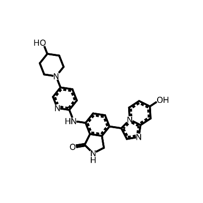 O=C1NCc2c(-c3cnc4cc(O)ccn34)ccc(Nc3ccc(N4CCC(O)CC4)cn3)c21